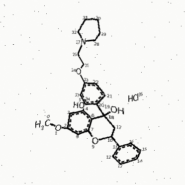 COc1cc(O)c2c(c1)OC(c1ccccc1)CC2(O)c1ccc(OCCN2CCCCC2)cc1.Cl